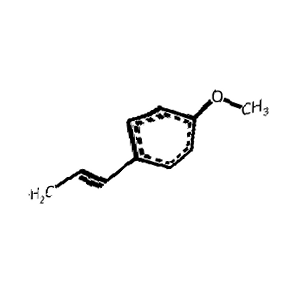 [CH2]C=Cc1ccc(OC)cc1